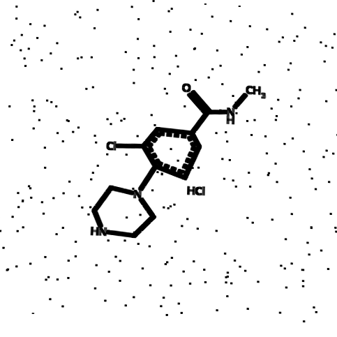 CNC(=O)c1ccc(N2CCNCC2)c(Cl)c1.Cl